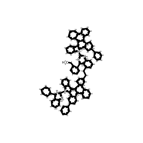 CCc1ccccc1-c1nc(-n2c3ccccc3c3c4c5ccccc5c5ccccc5c4c4ccc(-c5ccccc5)cc4c32)nc2cccc(CCc3ccc4c(c3)c3ccccc3c3c5ccc(-c6ccccc6)cc5c5c(c6ccccc6n5-c5nc(-c6ccccc6)c6ccccc6n5)c43)c12